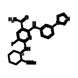 CNC1CCCC[C@H]1Nc1nc(Nc2cccc(-n3ccnc3)c2)c(C(N)=O)cc1F